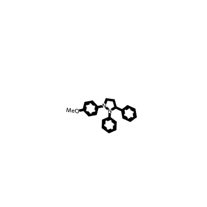 COc1ccc(N2CCC(c3ccccc3)N2c2ccccc2)cc1